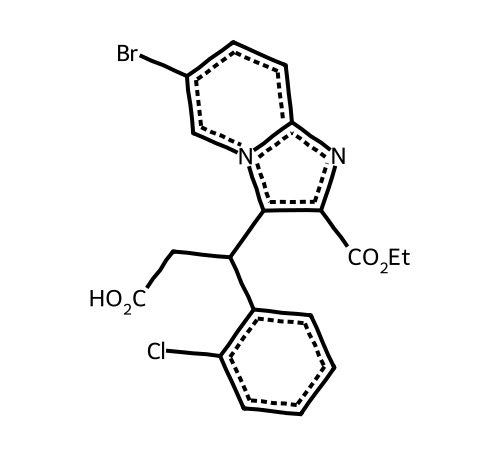 CCOC(=O)c1nc2ccc(Br)cn2c1C(CC(=O)O)c1ccccc1Cl